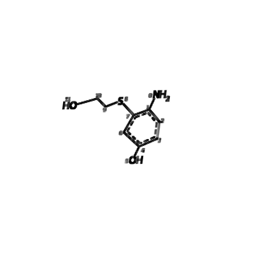 Nc1ccc(O)cc1SCCO